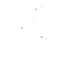 N#C[C@@H]1CS[C@H]2C[C@@](N)(c3ccccc3)C(=O)N12